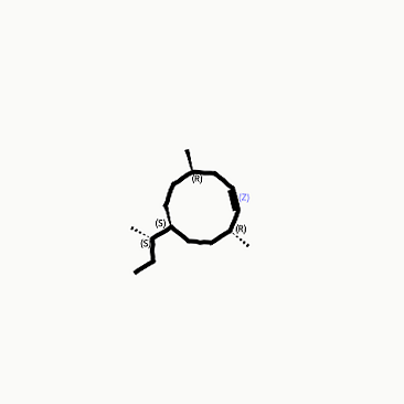 CC[C@H](C)[C@H]1CC[C@@H](C)C/C=C\[C@H](C)CC1